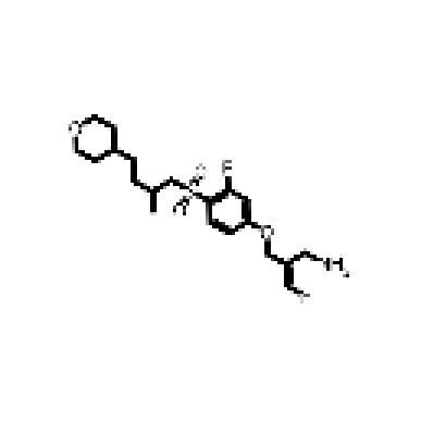 CC(CCC1CCOCC1)CS(=O)(=O)c1ccc(OC/C(=C/F)CN)cc1F